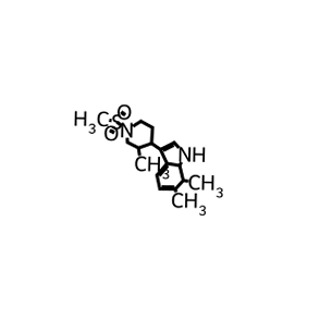 CC1=CC=C2C(C3CCN(S(C)(=O)=O)CC3C)=CNC2C1C